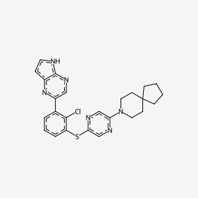 Clc1c(Sc2cnc(N3CCC4(CCCC4)CC3)cn2)cccc1-c1cnc2[nH]ccc2n1